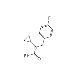 CCC(=O)N(Cc1ccc(F)cc1)C1CC1